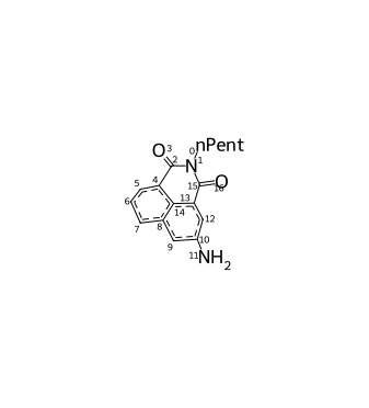 CCCCCN1C(=O)c2cccc3cc(N)cc(c23)C1=O